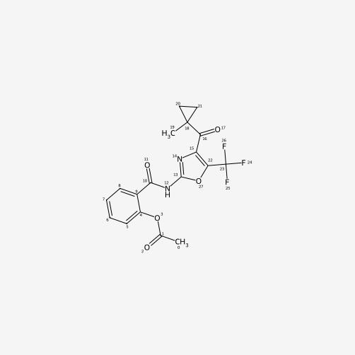 CC(=O)Oc1ccccc1C(=O)Nc1nc(C(=O)C2(C)CC2)c(C(F)(F)F)o1